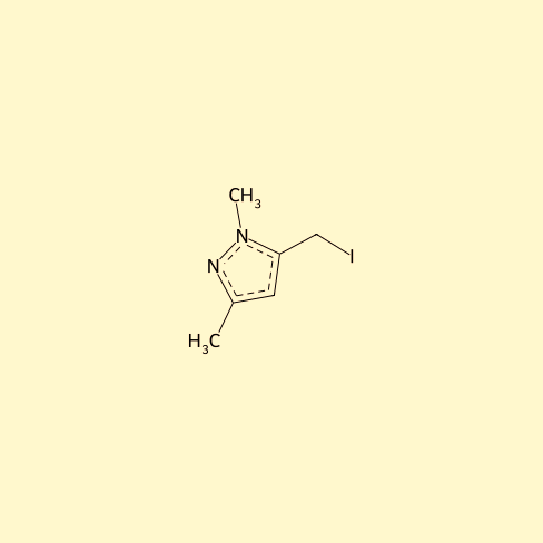 Cc1cc(CI)n(C)n1